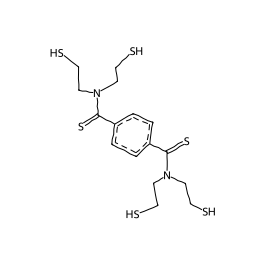 S=C(c1ccc(C(=S)N(CCS)CCS)cc1)N(CCS)CCS